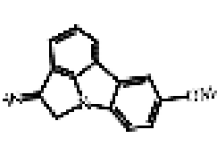 COc1ccc2c(c1)c1cccc3c1n2CC3=N